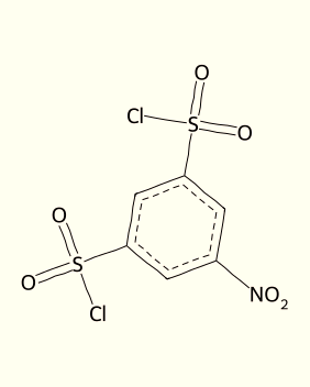 O=[N+]([O-])c1cc(S(=O)(=O)Cl)cc(S(=O)(=O)Cl)c1